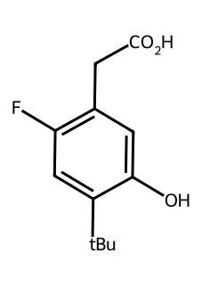 CC(C)(C)c1cc(F)c(CC(=O)O)cc1O